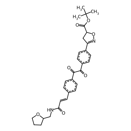 CC(C)(C)OC(=O)C1CC(c2ccc(C(=O)C(=O)c3ccc(C=CC(=O)NCC4CCCO4)cc3)cc2)=NO1